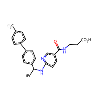 CC(C)C(Nc1ccc(C(=O)NCCC(=O)O)cn1)c1ccc(-c2ccc(C(F)(F)F)cc2)cc1